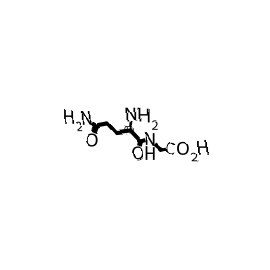 NC(=O)CC[C@@H](N)C(=O)NCC(=O)O